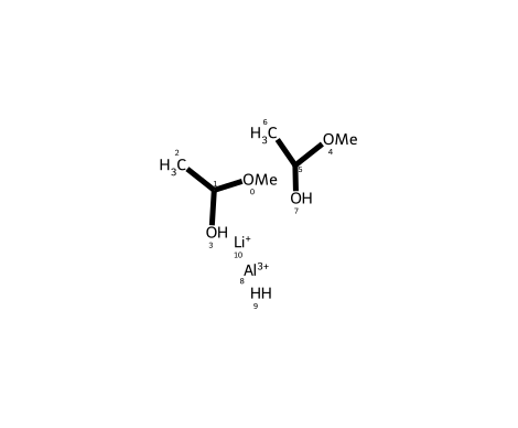 COC(C)O.COC(C)O.[Al+3].[HH].[Li+]